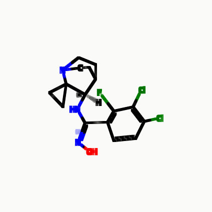 O/N=C(/N[C@@H]1C2CCN(CC2)C12CC2)c1ccc(Cl)c(Cl)c1F